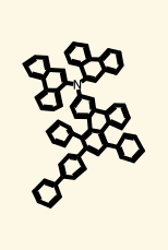 c1ccc(-c2ccc(-c3cc(-c4ccccc4)c4c5ccccc5c5cc(N(c6cc7ccccc7c7ccccc67)c6cc7ccccc7c7ccccc67)ccc5c4c3-c3ccccc3)cc2)cc1